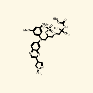 COc1cc(OC)cc(N(CC(COCC(C)(C)NC(=O)OC(C)(C)C)OS(C)(=O)=O)c2ccc3ncc(C4C=NN(C)C4)nc3c2)c1